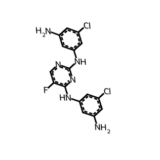 Nc1cc(Cl)cc(Nc2ncc(F)c(Nc3cc(N)cc(Cl)c3)n2)c1